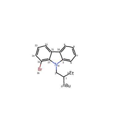 CCCCC(CC)Cn1c2ccccc2c2cccc(Br)c21